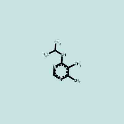 Cc1ncnc(NC(C)C)c1C